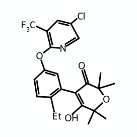 CCc1ccc(Oc2ncc(Cl)cc2C(F)(F)F)cc1C1=C(O)C(C)(C)OC(C)(C)C1=O